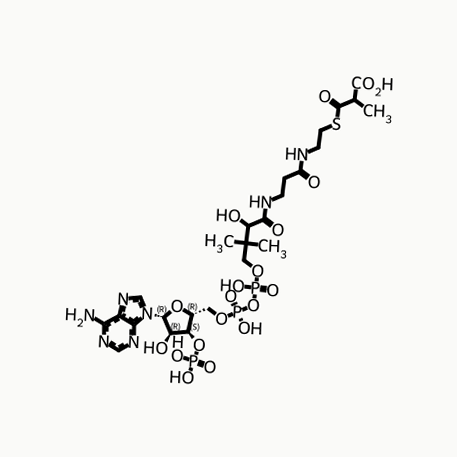 CC(C(=O)O)C(=O)SCCNC(=O)CCNC(=O)C(O)C(C)(C)COP(=O)(O)OP(=O)(O)OC[C@H]1O[C@@H](n2cnc3c(N)ncnc32)[C@H](O)[C@@H]1OP(=O)(O)O